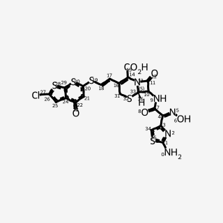 Nc1nc(C(=NO)C(=O)NC2C(=O)N3C(C(=O)O)=C(C=CSc4cc(=O)c5cc(Cl)sc5s4)CS[C@@H]23)cs1